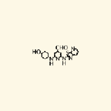 O=Cc1cc(Nc2nc3cccnc3s2)nc(N[C@H]2CC[C@H](O)CC2)c1